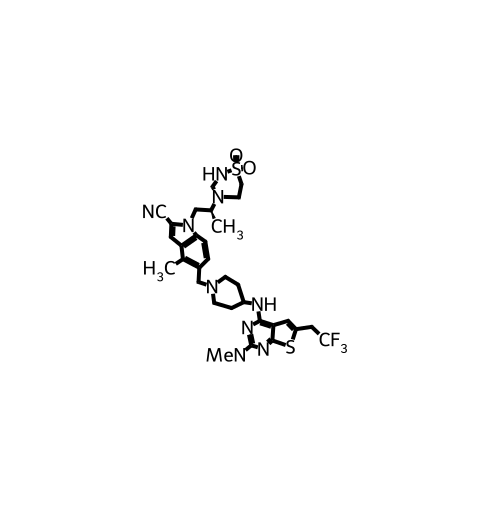 CNc1nc(NC2CCN(Cc3ccc4c(cc(C#N)n4C[C@H](C)N4CCS(=O)(=O)NC4)c3C)CC2)c2cc(CC(F)(F)F)sc2n1